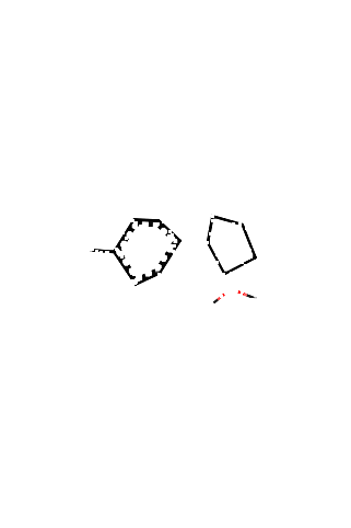 C1CCCC1.CCOCC.[Li][c]1ccccc1